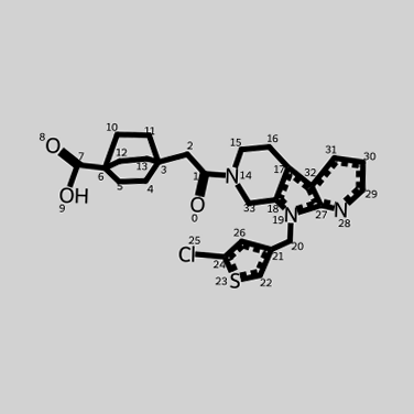 O=C(CC12CCC(C(=O)O)(CC1)CC2)N1CCc2c(n(Cc3csc(Cl)c3)c3ncccc23)C1